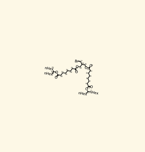 CCCCCCC(CCCCCC)OC(=O)CCCCCCC(=O)OCC(CBr)COC(=O)CCCCCCC(=O)OC(CCCCCC)CCCCCC